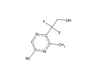 Cc1nc(C#N)cnc1C(F)(F)CO